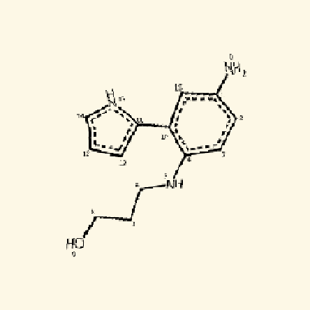 Nc1ccc(NCCCO)c(-c2ccc[nH]2)c1